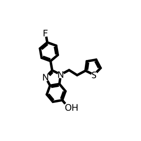 Oc1ccc2nc(-c3ccc(F)cc3)n(CCc3cccs3)c2c1